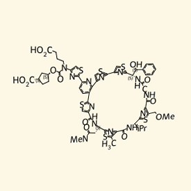 CNC(=O)C[C@@H]1NC(=O)c2csc(n2)-c2ccc(-c3nc(N(CCCC(=O)O)C(=O)O[C@H]4CC[C@H](C(=O)O)C4)cs3)nc2-c2csc(n2)-c2csc(n2)[C@H]([C@@H](O)c2ccccc2)NC(=O)CNC(=O)c2nc(sc2COC)C(C(C)C)NC(=O)c2nc1sc2C